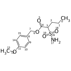 CCCC(C(=O)OCc1ccc(OC)cc1)S(N)(=O)=O